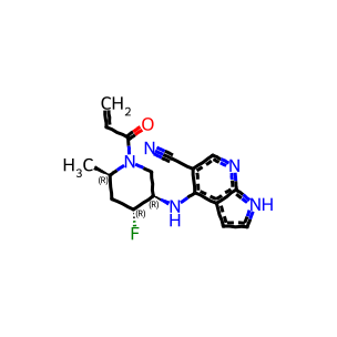 C=CC(=O)N1C[C@@H](Nc2c(C#N)cnc3[nH]ccc23)[C@H](F)C[C@H]1C